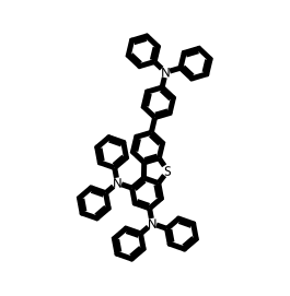 c1ccc(N(c2ccccc2)c2ccc(-c3ccc4c(c3)sc3cc(N(c5ccccc5)c5ccccc5)cc(N(c5ccccc5)c5ccccc5)c34)cc2)cc1